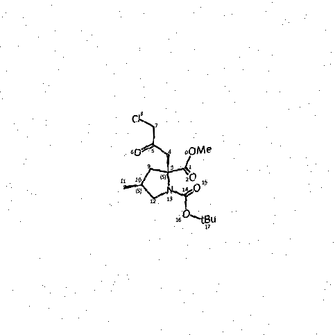 COC(=O)[C@@]1(CC(=O)CCl)C[C@H](C)CN1C(=O)OC(C)(C)C